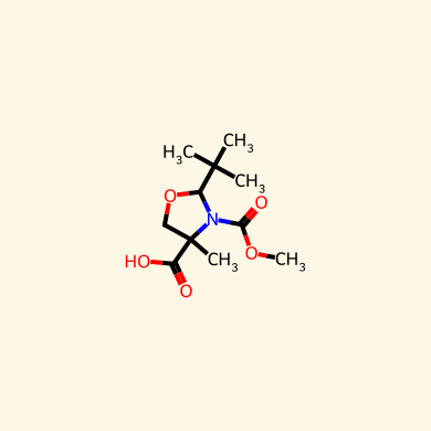 COC(=O)N1C(C(C)(C)C)OCC1(C)C(=O)O